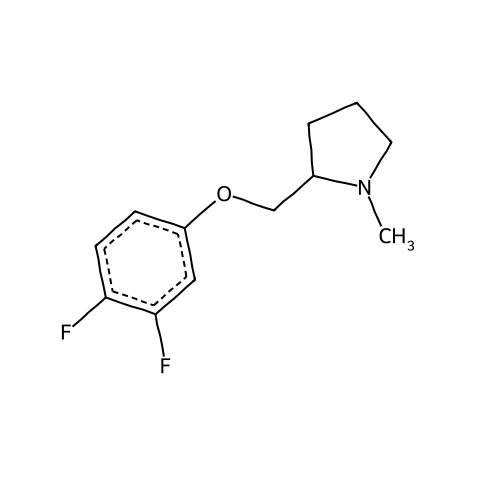 CN1CCCC1COc1ccc(F)c(F)c1